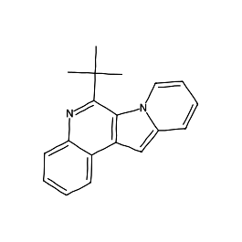 CC(C)(C)c1nc2ccccc2c2cc3ccccn3c12